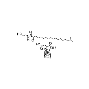 CC(C)CCCCCCCCCCCCCCC(=O)NNCCO.O=C(O)CC(C(=O)O)S(=O)(=O)O.[NaH].[NaH]